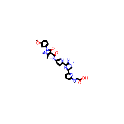 COc1cccc(-n2c(=O)c(C(=O)Nc3ccc(-c4nc(-c5cccc(N(C)CC(=O)O)n5)cnc4N)nc3)c(C)n2C)c1